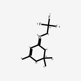 CC1=CC(=NCC(F)(F)F)CC(C)(C)C1